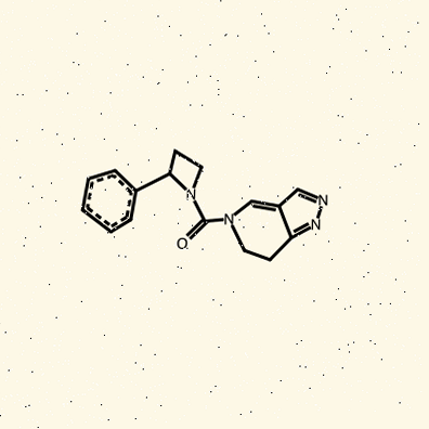 O=C(N1C=C2C=NN=C2CC1)N1CCC1c1ccccc1